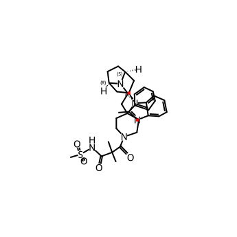 Cc1nc2ccccc2n1[C@H]1C[C@H]2CC[C@@H](C1)N2CCC1(c2ccccc2)CCN(C(=O)C(C)(C)C(=O)NS(C)(=O)=O)CC1